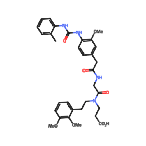 COc1cc(CC(=O)NCC(=O)N(CCC(=O)O)CCc2cccc(OC)c2OC)ccc1NC(=O)Nc1ccccc1C